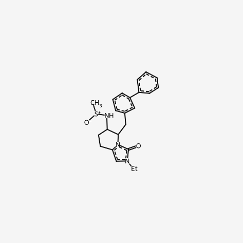 CCn1cc2n(c1=O)C(Cc1cccc(-c3ccccc3)c1)C(N[S+](C)[O-])CC2